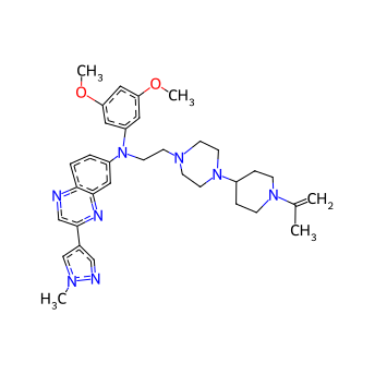 C=C(C)N1CCC(N2CCN(CCN(c3cc(OC)cc(OC)c3)c3ccc4ncc(-c5cnn(C)c5)nc4c3)CC2)CC1